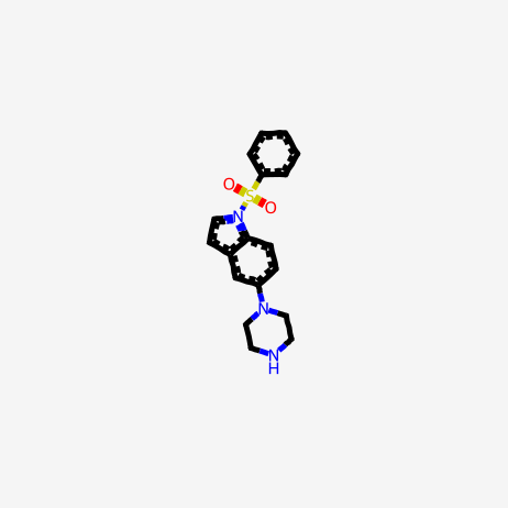 O=S(=O)(c1ccccc1)n1ccc2cc(N3CCNCC3)ccc21